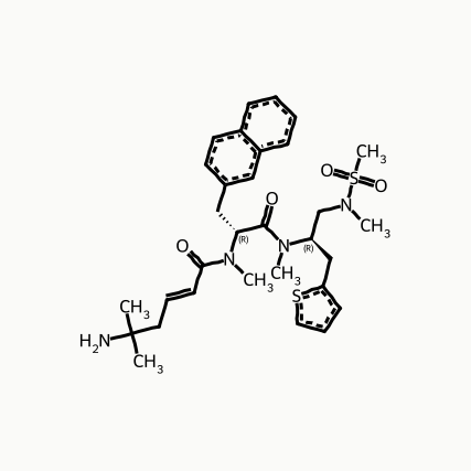 CN(C(=O)[C@@H](Cc1ccc2ccccc2c1)N(C)C(=O)C=CCC(C)(C)N)[C@H](Cc1cccs1)CN(C)S(C)(=O)=O